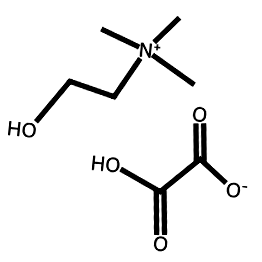 C[N+](C)(C)CCO.O=C([O-])C(=O)O